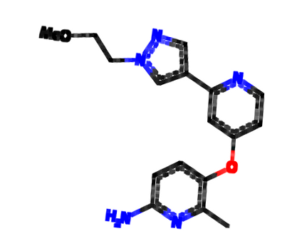 COCCn1cc(-c2cc(Oc3ccc(N)nc3C)ccn2)cn1